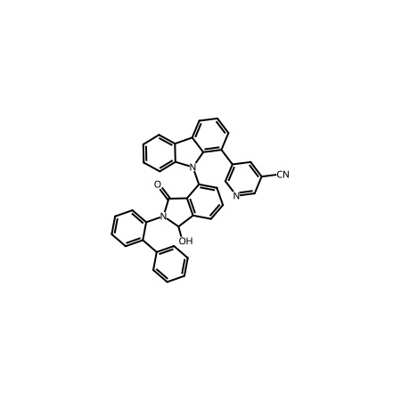 N#Cc1cncc(-c2cccc3c4ccccc4n(-c4cccc5c4C(=O)N(c4ccccc4-c4ccccc4)C5O)c23)c1